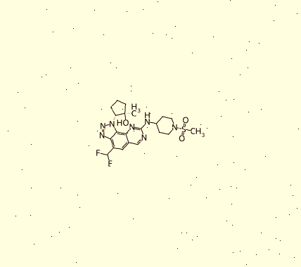 C[C@@]1(O)CCC[C@H]1n1nnc2c(C(F)F)cc3cnc(NC4CCN(S(C)(=O)=O)CC4)nc3c21